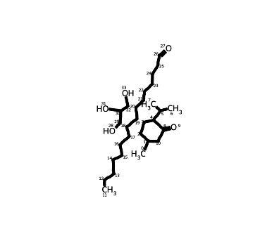 CC1CCC(C(C)C)C(=O)C1.CCCCCCCCCCCCCCCC=O.OCC(O)CO